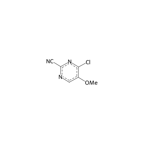 COc1cnc(C#N)nc1Cl